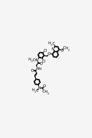 COc1cc(C)nc2c(OCc3c(Cl)ccc(N(C)C(=O)CNC(=O)C=Cc4ccc(N(C)C(C)=O)cc4)c3Cl)cccc12